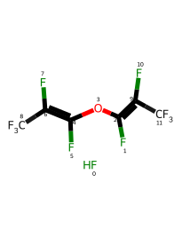 F.FC(OC(F)=C(F)C(F)(F)F)=C(F)C(F)(F)F